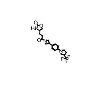 O=C1N[C@H](CCC(=O)N2CC(c3ccc(N4CCC(C(F)(F)F)C4)cc3)C2)CO1